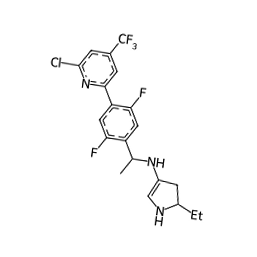 CCC1CC(NC(C)c2cc(F)c(-c3cc(C(F)(F)F)cc(Cl)n3)cc2F)=CN1